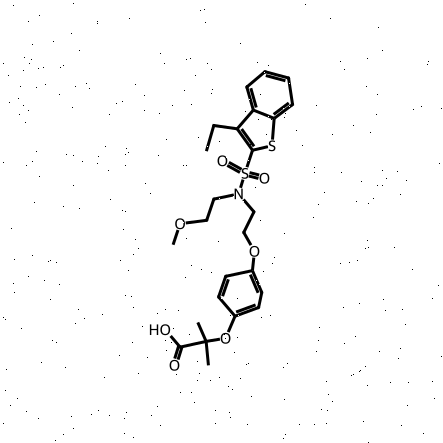 CCc1c(S(=O)(=O)N(CCOC)CCOc2ccc(OC(C)(C)C(=O)O)cc2)sc2ccccc12